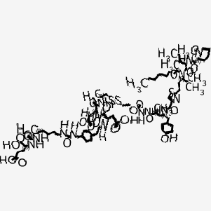 CCCCCCOCN(C(=O)C(NC(=O)[C@H]1CCCCN1C)[C@@H](C)CC)[C@H](CCc1nc(C(=O)N[C@@H](Cc2ccc(O)cc2)C[C@H](C)C(=O)NNC(=O)OCCSSC[C@@H](C)NC(=O)[C@H](CC(=O)O)NC(=O)C(CC(=O)O)NC(=O)Cc2ccc(CNC(=O)NCCCC[C@@H](C)NC(=O)N[C@@H](CCC(=O)O)C(=O)O)cc2)cs1)C(C)C